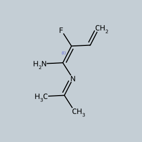 C=C/C(F)=C(/N)N=C(C)C